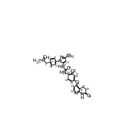 CN(C)Cc1ccc(-n2nc(C(C)(C)C)cc2NC(=O)Nc2ccc(Oc3ccnc4c3CCC(=O)N4)cc2C(F)(F)F)cc1